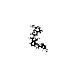 CC(C)(C)C1CC(N2C(=O)c3cccc(NC(=O)c4ccc(Cl)s4)c3C2=O)CCN1C(=O)O